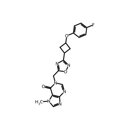 Cn1cnc2ncn(Cc3nc(C4CC(Oc5ccc(F)cc5)C4)no3)c(=O)c21